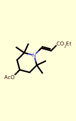 CCOC(=O)C=CN1C(C)(C)CC(OC(C)=O)CC1(C)C